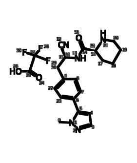 Cn1nccc1-c1ccc(C[C@@H](C#N)NC(=O)[C@@H]2CCCCN2)cc1.O=C(O)C(F)(F)F